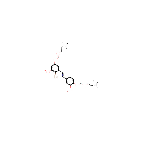 COc1cc(/C=C/c2cc(OCOCC[Si](C)(C)C)cc(OC)c2Br)ccc1OCOCC[Si](C)(C)C